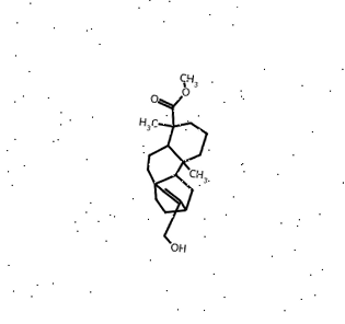 COC(=O)C1(C)CCCC2(C)C3CC4CCC3(C=C4CO)CCC12